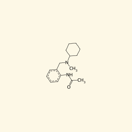 CC(=O)Nc1ccccc1CN(C)C1CCCCC1